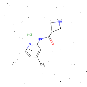 Cc1ccnc(NC(=O)C2CNC2)c1.Cl